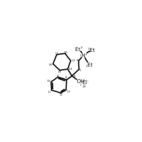 CC[N+](CC)(CC)CCC(O)(c1ccccc1)C1CCCCC1.[Cl-]